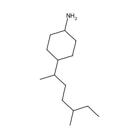 CCC(C)CCC(C)C1CCC(N)CC1